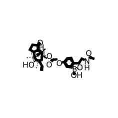 C=C[C@]1(C)C[C@@H](OC(=O)COc2ccc3c(c2)B(O)OC3CNC(C)=O)[C@]2(C)[C@H](C)CC[C@]3(CCC(=O)[C@H]32)[C@@H](C)[C@@H]1O